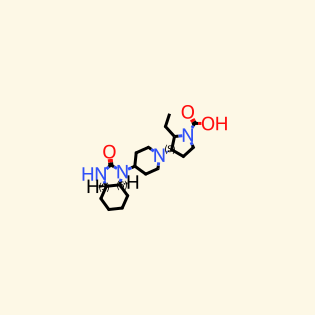 CCC1[C@@H](N2CCC(N3C(=O)N[C@H]4CCCC[C@@H]43)CC2)CCN1C(=O)O